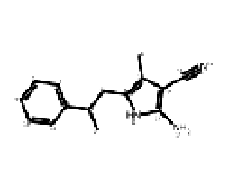 Cc1c(CC(C)c2ccccc2)[nH]c(N)c1C#N